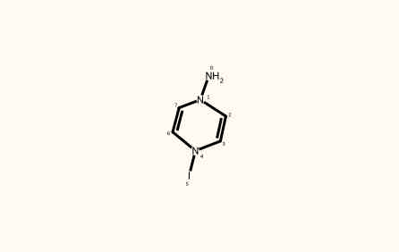 NN1C=CN(I)C=C1